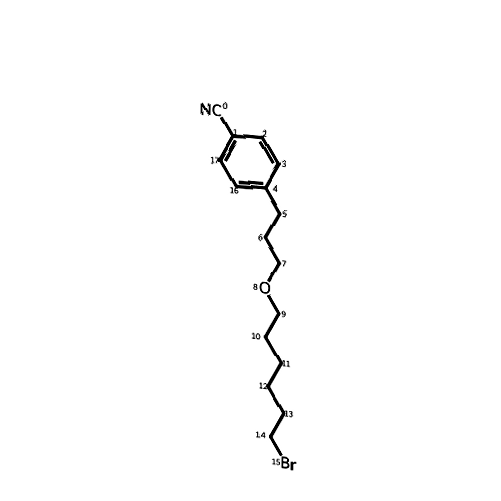 N#Cc1ccc(CCCOCCCCCCBr)cc1